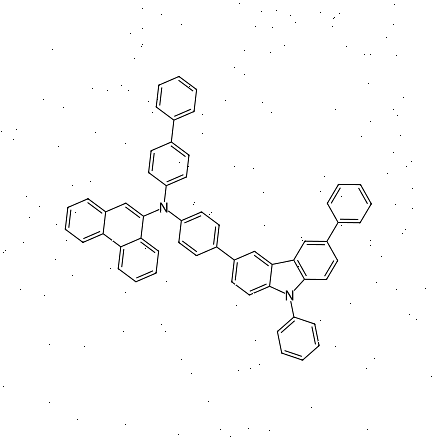 c1ccc(-c2ccc(N(c3ccc(-c4ccc5c(c4)c4cc(-c6ccccc6)ccc4n5-c4ccccc4)cc3)c3cc4ccccc4c4ccccc34)cc2)cc1